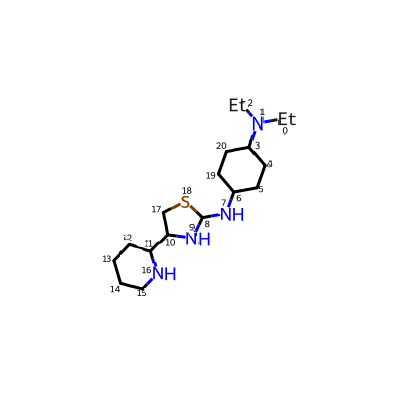 CCN(CC)C1CCC(NC2NC(C3CCCCN3)CS2)CC1